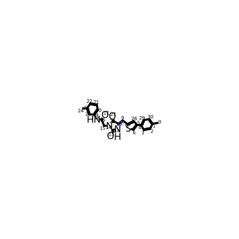 Cc1ccc(-c2csc(/C=C3\NC(=O)N(CC(=O)Nc4cccc(C)c4)C3=O)c2)cc1